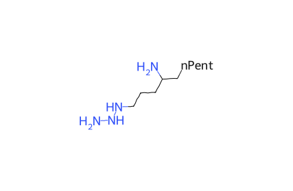 CCCCCCC(N)CCCNNN